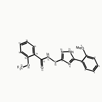 COc1ccccc1-c1nc(SNC(=O)c2ccccc2OC(F)(F)F)n[nH]1